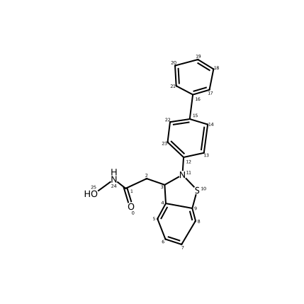 O=C(CC1c2ccccc2SN1c1ccc(-c2ccccc2)cc1)NO